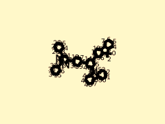 CC1(C)c2ccccc2-c2ccc(-c3cc(-c4ccc(-c5cc(-c6ccccc6)nc(-c6ccccc6)n5)cc4)cc(-n4c5ccccc5c5ccccc54)c3)cc21